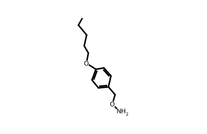 CCCCCOc1ccc(CON)cc1